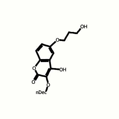 CCCCCCCCCCOc1c(O)c2cc(OCCCO)ccc2oc1=O